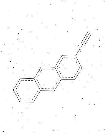 C#Cc1[c]c2cc3ccccc3cc2cc1